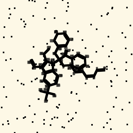 C=C/C=C\C=C\CCC(CC1=CC=CCC1)(C(=C)C1C=CC=CC1)n1c(CC)c(C=C)c2cc(C(C)(C)C)ccc21